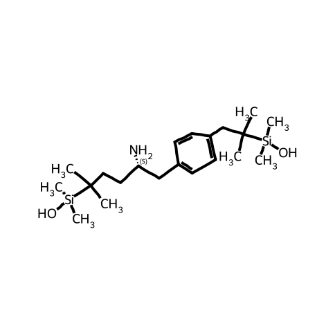 CC(C)(CC[C@H](N)Cc1ccc(CC(C)(C)[Si](C)(C)O)cc1)[Si](C)(C)O